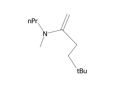 C=C(CCC(C)(C)C)N(C)CCC